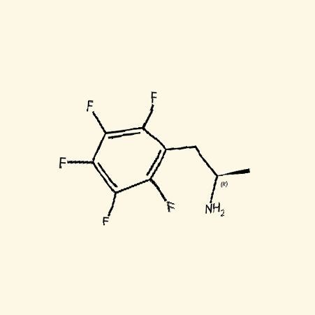 C[C@@H](N)Cc1c(F)c(F)c(F)c(F)c1F